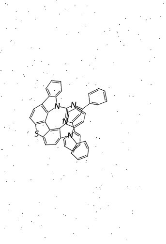 c1ccc(-c2cc(-c3ccccc3)nc(-n3c4ccccc4c4ccc5sc6ccc7c(c8ccccc8n7-c7ccccc7)c6c5c43)n2)cc1